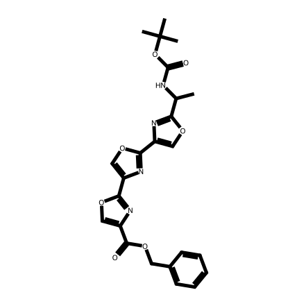 CC(NC(=O)OC(C)(C)C)c1nc(-c2nc(-c3nc(C(=O)OCc4ccccc4)co3)co2)co1